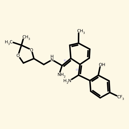 Cc1ccc(=C(/N)c2ccc(C(F)(F)F)cc2O)/c(=C(\N)NCC2COC(C)(C)O2)c1